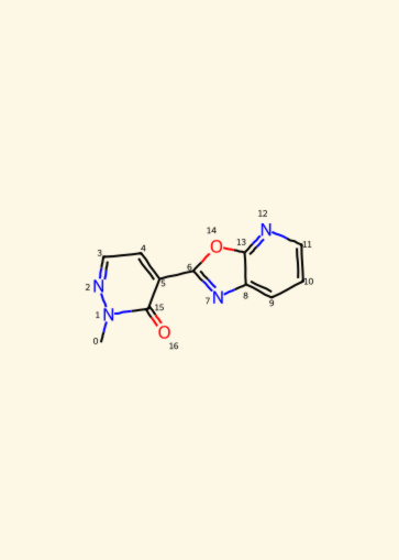 Cn1nccc(-c2nc3cccnc3o2)c1=O